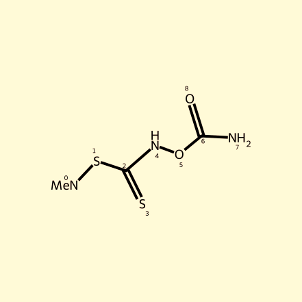 CNSC(=S)NOC(N)=O